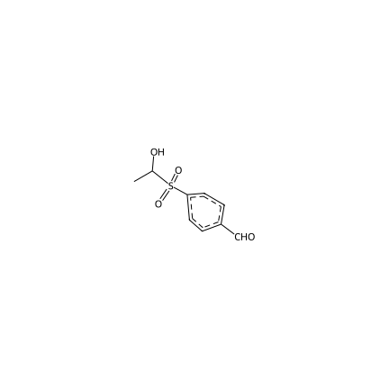 CC(O)S(=O)(=O)c1ccc(C=O)cc1